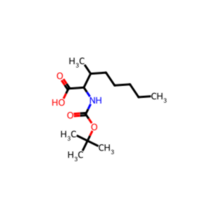 CCCCCC(C)C(NC(=O)OC(C)(C)C)C(=O)O